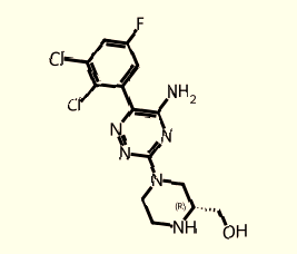 Nc1nc(N2CCN[C@@H](CO)C2)nnc1-c1cc(F)cc(Cl)c1Cl